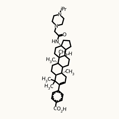 CC(C)N1CCN(CC(=O)N[C@]23CCCC2[C@H]2CCC4[C@@]5(C)CC=C(c6ccc(C(=O)O)cc6)C(C)(C)C5CC[C@@]4(C)[C@]2(C)CC3)CC1